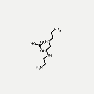 NCCNCCNCCN.OB(O)O